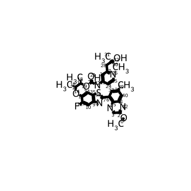 COc1cnc2c(-c3nc4cc(F)c(O[C@@H](C)[C@@H](C)OC(=O)Nc5ccnc(CC(C)(C)O)c5)cc4s3)cc(C)cc2n1